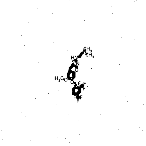 COc1cc(C=C2SC(NCCN(C)C)=NC2=O)ccc1OCc1ccc(C(F)(F)F)cc1C(F)(F)F